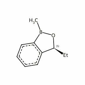 CC[C@@H]1OB(C)c2ccccc21